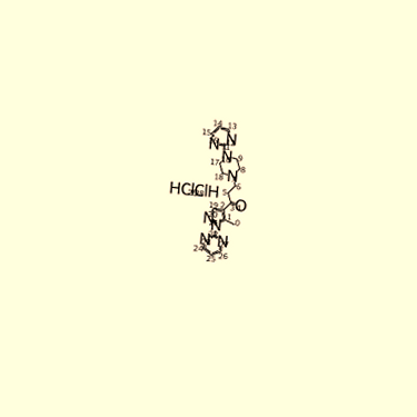 Cc1c(C(=O)CCN2CCN(c3ncccn3)CC2)cnn1-c1ncccn1.Cl.Cl